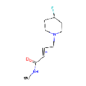 CC(C)(C)NC(=O)/C=C/CN1CCC(F)CC1